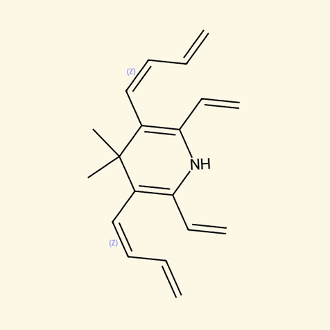 C=C/C=C\C1=C(C=C)NC(C=C)=C(/C=C\C=C)C1(C)C